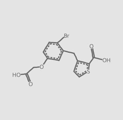 O=C(O)COc1ccc(Br)c(Cc2ccsc2C(=O)O)c1